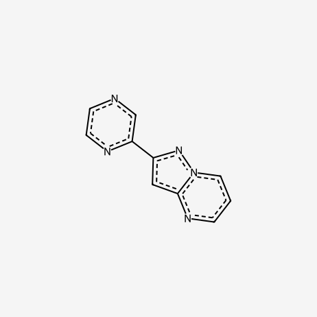 c1cnc2cc(-c3cnccn3)nn2c1